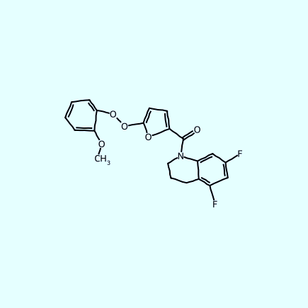 COc1ccccc1OOc1ccc(C(=O)N2CCCc3c(F)cc(F)cc32)o1